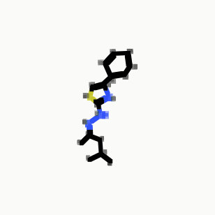 CC(CC(C)C)=NNc1nc(-c2ccccc2)cs1